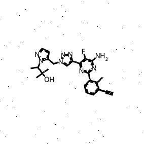 C#Cc1cccc(-c2nc(N)c(F)c(-c3cn(Cc4ccnn4C(C)C(C)(C)O)nn3)n2)c1C